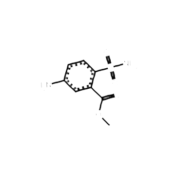 COC(=O)c1cc(N)ccc1S(N)(=O)=O